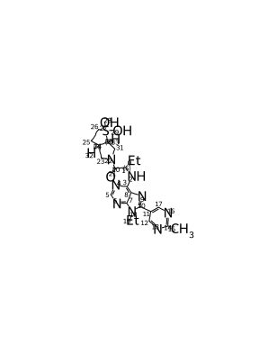 CC[C@H](Nc1ncnc2c1nc(-c1cnc(C)nc1)n2CC)C(=O)N1C[C@H]2CCS(O)(O)[C@@H]2C1